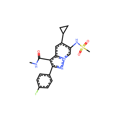 CNC(=O)c1c(-c2ccc(F)cc2)nn2cc(NS(C)(=O)=O)c(C3CC3)cc12